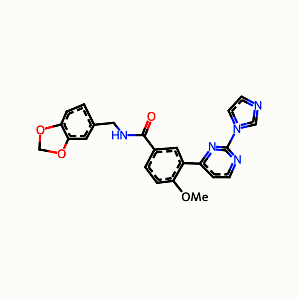 COc1ccc(C(=O)NCc2ccc3c(c2)OCO3)cc1-c1ccnc(-n2ccnc2)n1